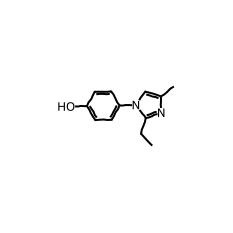 CCc1nc(C)cn1-c1ccc(O)cc1